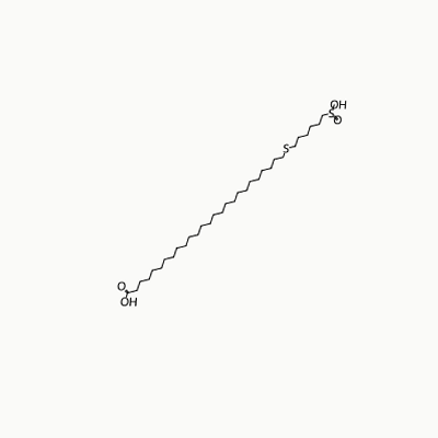 O=C(O)CCCCCCCCCCCCCCCCCCCCCCCCCSCCCCCCS(=O)O